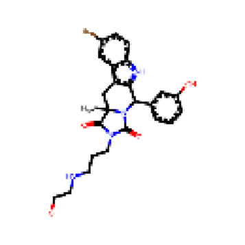 CC12Cc3c([nH]c4ccc(Br)cc34)C(c3cccc(O)c3)N1C(=O)N(CCCNCCO)C2=O